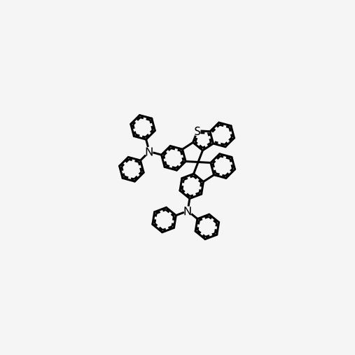 c1ccc(N(c2ccccc2)c2ccc3c(c2)-c2ccccc2C32c3ccc(N(c4ccccc4)c4ccccc4)cc3-c3sc4ccccc4c32)cc1